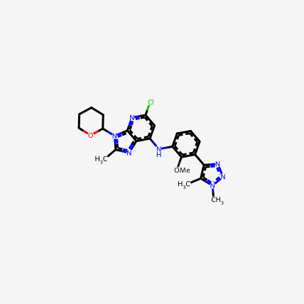 COc1c(Nc2cc(Cl)nc3c2nc(C)n3C2CCCCO2)cccc1-c1nnn(C)c1C